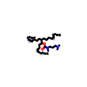 CCCCC/C=C\CCCC(CCC/C=C\CCCCC)C(CC/C=C\CCCCC)OC(=O)N(C)CCCN(C)C